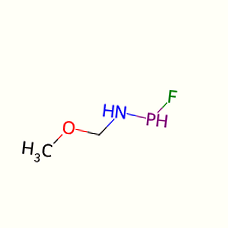 COCNPF